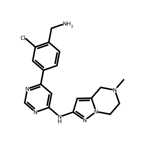 CN1CCn2nc(Nc3cc(-c4ccc(CN)c(Cl)c4)ncn3)cc2C1